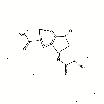 COC(=O)c1ccc2c(c1)C(=NC(=O)OC(C)(C)C)C[S+]2[O-]